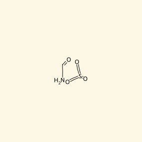 NC=O.O=S(=O)=O